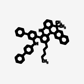 CCCCCc1cc(-c2ccc(-c3ccccc3)cc2Nc2ccc(-c3ccccc3)cc2)c2c(c1)N1c3cc4ccccc4cc3C(C)(C)c3cccc(c31)B2